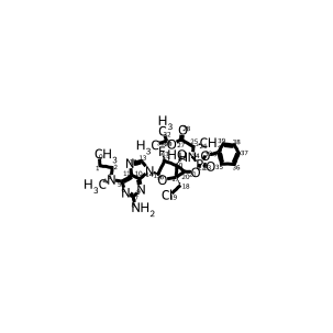 CCCN(C)c1nc(N)nc2c1ncn2[C@@H]1O[C@]2(CCl)C(O[P@](=O)(N[C@@H](C)C(=O)OC(C)C)Oc3ccccc3)[C@]2(O)[C@H]1F